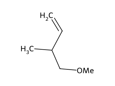 [CH2]OCC(C)C=C